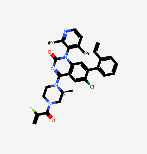 C=Cc1ccccc1-c1cc2c(cc1Cl)c(N1CCN(C(=O)C(=C)F)C[C@@H]1C)nc(=O)n2-c1c(C(C)C)ccnc1C(C)C